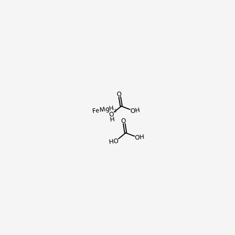 O=C(O)O.O=C(O)O.[Fe].[MgH2]